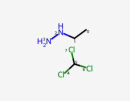 CCNN.ClC(Cl)Cl